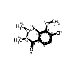 COc1c(Cl)ccc(C(=O)N(C)OC)c1F